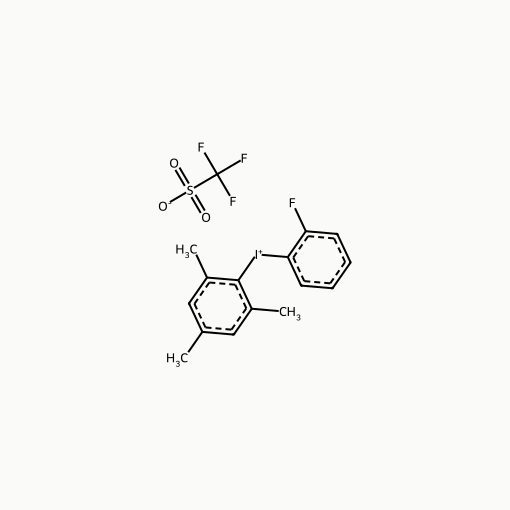 Cc1cc(C)c([I+]c2ccccc2F)c(C)c1.O=S(=O)([O-])C(F)(F)F